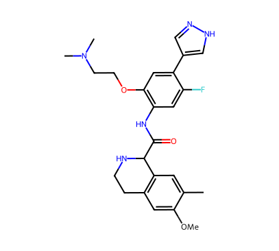 COc1cc2c(cc1C)C(C(=O)Nc1cc(F)c(-c3cn[nH]c3)cc1OCCN(C)C)NCC2